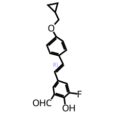 O=Cc1cc(/C=C/c2ccc(OCC3CC3)cc2)cc(F)c1O